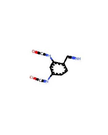 N=Cc1ccc(N=C=O)cc1N=C=O